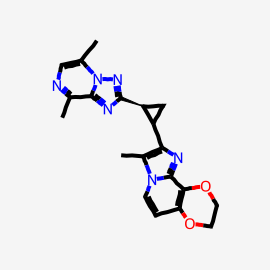 Cc1ncc(C)n2nc([C@H]3CC3c3nc4c5c(ccn4c3C)OCCO5)nc12